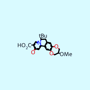 COC1COc2cc3c(cc2OC1)-c1cc(=O)c(C(=O)O)cn1C(C(C)(C)C)C3